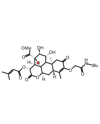 COC(=O)[C@@]12OC[C@]34C([C@@H](O)[C@@H]1O)[C@@]1(C)CC(=O)C(OCC(=O)NC(C)(C)C)=C(C)[C@@H]1C[C@H]3OC(=O)[C@H](OC(=O)C=C(C)C)[C@@H]24